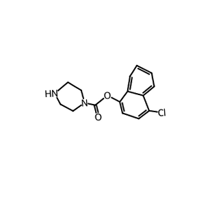 O=C(Oc1ccc(Cl)c2ccccc12)N1CCNCC1